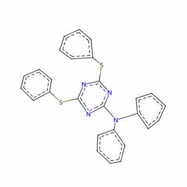 c1ccc(Sc2nc(Sc3ccccc3)nc(N(c3ccccc3)c3ccccc3)n2)cc1